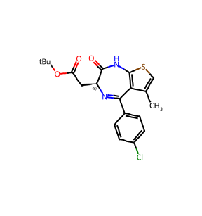 Cc1csc2c1C(c1ccc(Cl)cc1)=N[C@@H](CC(=O)OC(C)(C)C)C(=O)N2